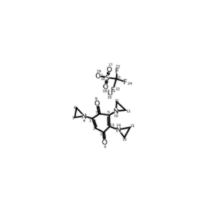 O=C1C=C(N2CC2)C(=O)C(N2CC2)=C1N1CC1.O=S(=O)([O-])C(F)(F)F.[Li+]